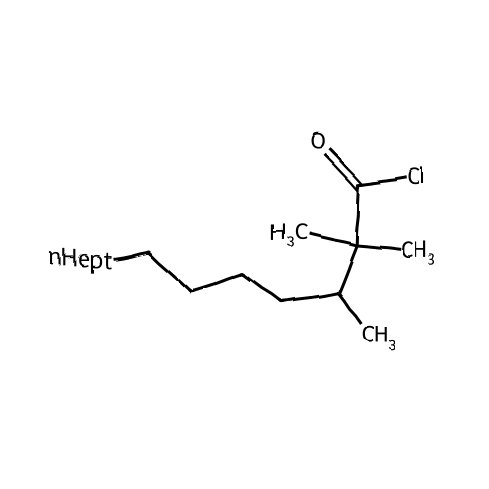 CCCCCCCCCCCC(C)C(C)(C)C(=O)Cl